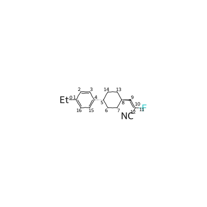 CCc1ccc([C@H]2CC[C@H](/C=C(/F)C#N)CC2)cc1